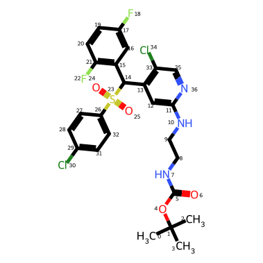 CC(C)(C)OC(=O)NCCNc1cc(C(c2cc(F)ccc2F)S(=O)(=O)c2ccc(Cl)cc2)c(Cl)cn1